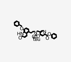 CC(C)(C)OC(=O)N(CCc1ccc(OCc2ccccc2)c2[nH]c(=O)ccc12)Cc1ccc(C(=O)Oc2ccccc2)nc1